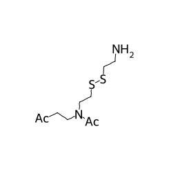 CC(=O)CCN(CCSSCCN)C(C)=O